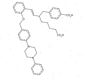 O=C(O)CCCCC(/C=C/c1ccccc1OCc1ccc(N2CCN(c3ccccc3)CC2)cc1)Cc1ccc(C(=O)O)cc1